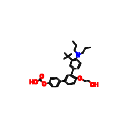 CCCN(CCC)c1ccc(-c2cc(-c3ccc(OC(=O)O)cc3)ccc2OCCO)cc1C(C)(C)C